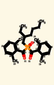 CCCCC(CC)CP(=O)(C(=O)c1c(C)cccc1C)C(=O)c1c(C)cccc1C